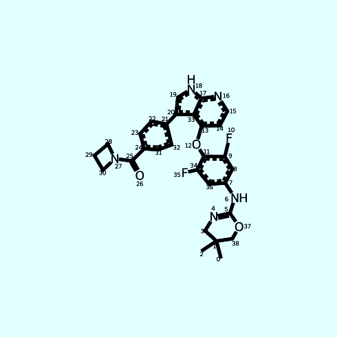 CC1(C)CN=C(Nc2cc(F)c(Oc3ccnc4[nH]cc(-c5ccc(C(=O)N6CCC6)cc5)c34)c(F)c2)OC1